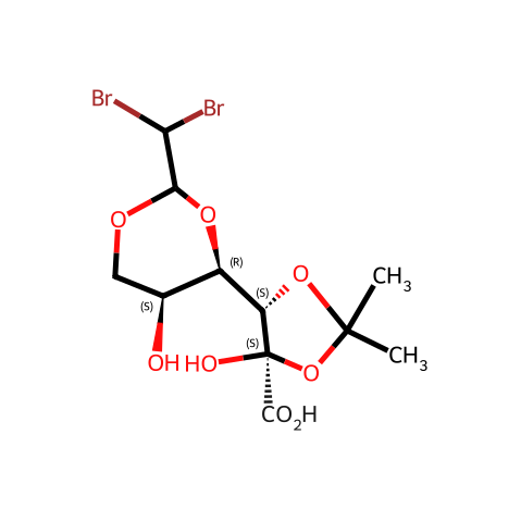 CC1(C)O[C@@H]([C@@H]2OC(C(Br)Br)OC[C@@H]2O)[C@@](O)(C(=O)O)O1